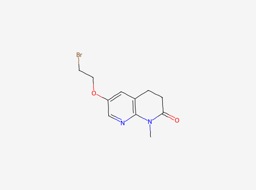 CN1C(=O)CCc2cc(OCCBr)cnc21